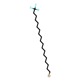 FC(F)(F)CCCCCCCCCCCCCCCCCCBr